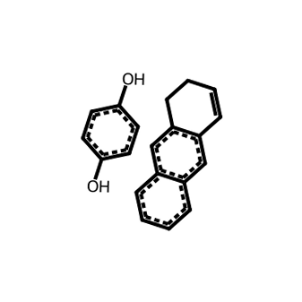 C1=Cc2cc3ccccc3cc2CC1.Oc1ccc(O)cc1